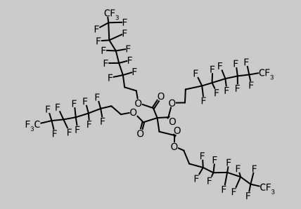 O=C(CC(C(=O)OCCC(F)(F)C(F)(F)C(F)(F)C(F)(F)C(F)(F)C(F)(F)F)(C(=O)OCCC(F)(F)C(F)(F)C(F)(F)C(F)(F)C(F)(F)C(F)(F)F)C(=O)OCCC(F)(F)C(F)(F)C(F)(F)C(F)(F)C(F)(F)C(F)(F)F)OCCC(F)(F)C(F)(F)C(F)(F)C(F)(F)C(F)(F)C(F)(F)F